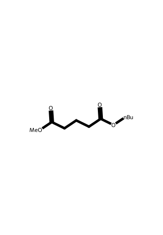 CCCCOC(=O)C[CH]CC(=O)OC